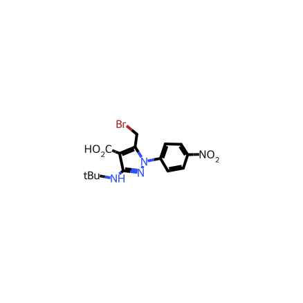 CC(C)(C)Nc1nn(-c2ccc([N+](=O)[O-])cc2)c(CBr)c1C(=O)O